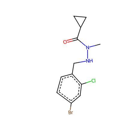 CN(NCc1ccc(Br)cc1Cl)C(=O)C1CC1